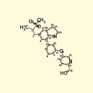 CC(Cc1cc(-c2cccc(Oc3ccc(CO)nc3)c2)c2ncccc2c1)S(C)(=O)=O